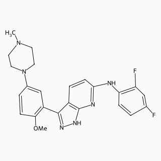 COc1ccc(N2CCN(C)CC2)cc1-c1n[nH]c2nc(Nc3ccc(F)cc3F)ccc12